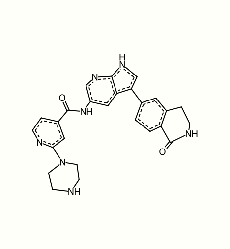 O=C(Nc1cnc2[nH]cc(-c3ccc4c(c3)CCNC4=O)c2c1)c1ccnc(N2CCNCC2)c1